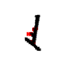 CCCCCCCCC(CCCCCCCC)OC(=O)CCCCCN(CCO)CCCCCC(=O)OCCCCCCCCCCC(C)C